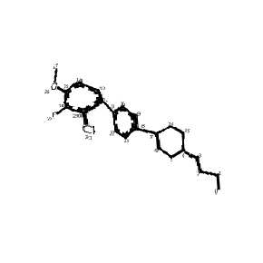 CCCCC1CCC(c2ccc(-c3ccc(OC)c(F)c3Cl)cc2)CC1